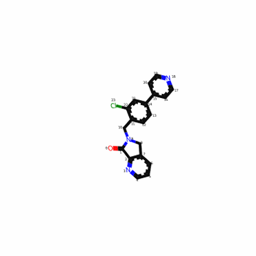 O=C1c2ncccc2CN1Cc1ccc(-c2ccncc2)cc1Cl